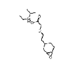 CC[SiH](OC(=O)COCCC1CCC2OC2C1)C(C)C